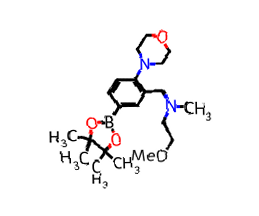 COCCN(C)Cc1cc(B2OC(C)(C)C(C)(C)O2)ccc1N1CCOCC1